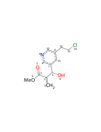 C=C(C(=O)OC)C(O)c1cncc(CCCl)c1